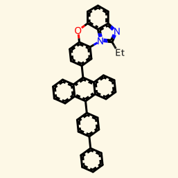 CCc1nc2cccc3c2n1-c1cc(-c2c4ccccc4c(-c4ccc(-c5ccccc5)cc4)c4ccccc24)ccc1O3